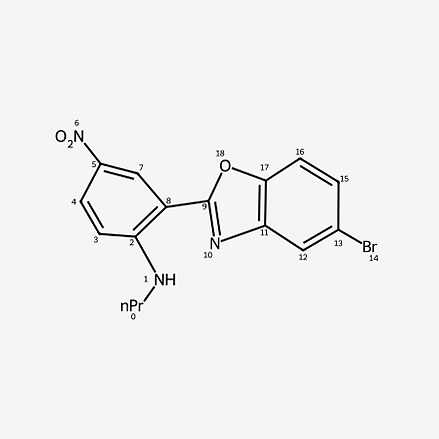 CCCNc1ccc([N+](=O)[O-])cc1-c1nc2cc(Br)ccc2o1